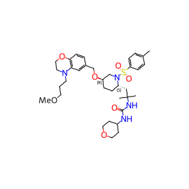 COCCCN1CCOc2ccc(CO[C@@H]3CC[C@@H](CC(C)(C)NC(=O)NC4CCOCC4)N(S(=O)(=O)c4ccc(C)cc4)C3)cc21